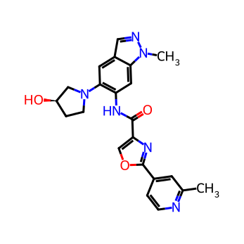 Cc1cc(-c2nc(C(=O)Nc3cc4c(cnn4C)cc3N3CC[C@@H](O)C3)co2)ccn1